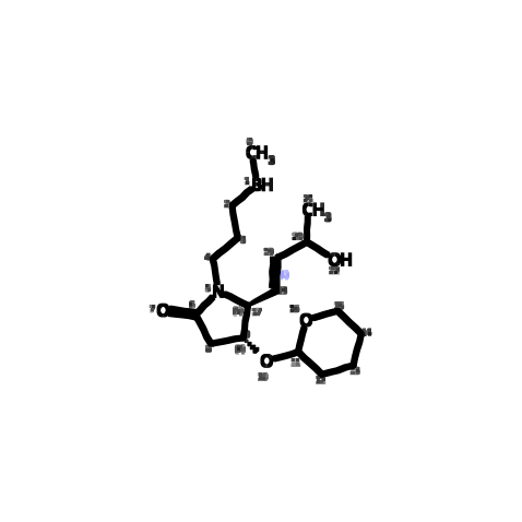 CBCCCN1C(=O)C[C@@H](OC2CCCCO2)[C@@H]1/C=C/C(C)O